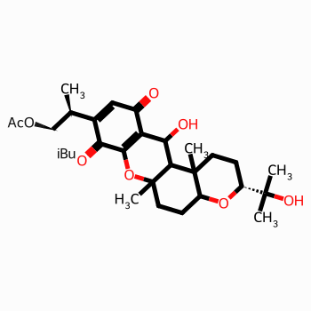 CC[C@H](C)[C@@H](OC(C)=O)[C@@H](C)C1=CC(=O)C2=C(OC3(C)CCC4O[C@@H](C(C)(C)O)CCC4(C)C3C2O)C1=O